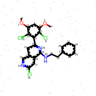 COc1cc(OC)c(Cl)c(-c2cc3cnc(Cl)cc3c(NCCc3ccccc3)n2)c1Cl